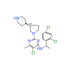 Cc1nc(N2CCC[C@H](C3CCNCC3)C2)nc(NC(C)c2ccc(Cl)cc2Cl)c1Cl